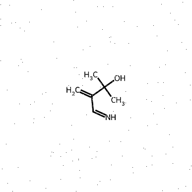 C=C(C=N)C(C)(C)O